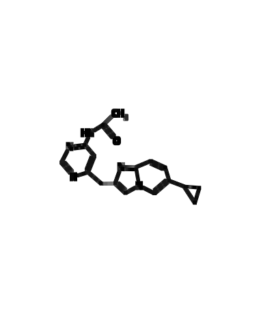 CC(=O)Nc1cc(Cc2cn3cc(C4CC4)ccc3n2)ncn1